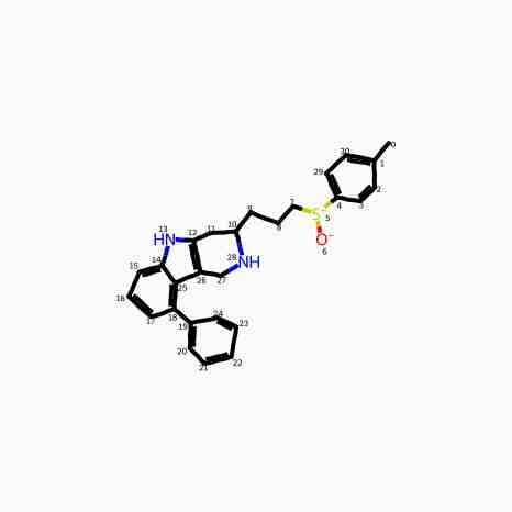 Cc1ccc([S+]([O-])CCCC2Cc3[nH]c4cccc(-c5ccccc5)c4c3CN2)cc1